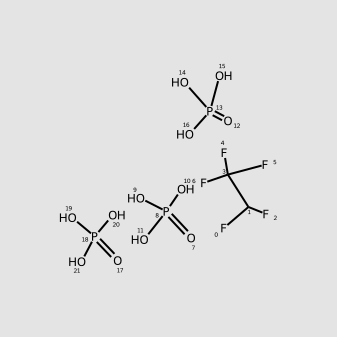 FC(F)C(F)(F)F.O=P(O)(O)O.O=P(O)(O)O.O=P(O)(O)O